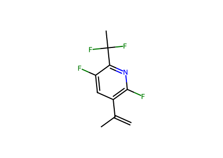 C=C(C)c1cc(F)c(C(C)(F)F)nc1F